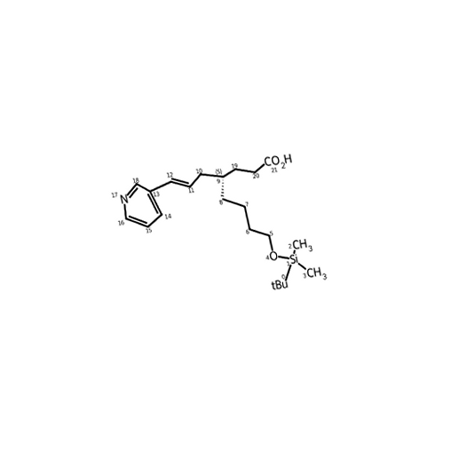 CC(C)(C)[Si](C)(C)OCCCC[C@H](CC=Cc1cccnc1)CCC(=O)O